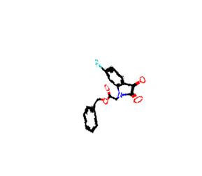 O=C(CN1C(=O)C(=O)c2ccc(F)cc21)OCc1ccccc1